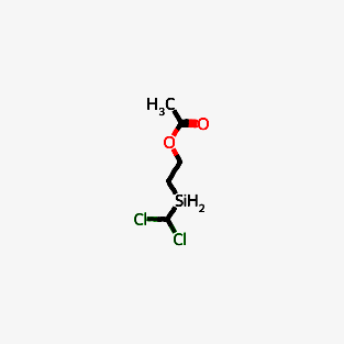 CC(=O)OCC[SiH2]C(Cl)Cl